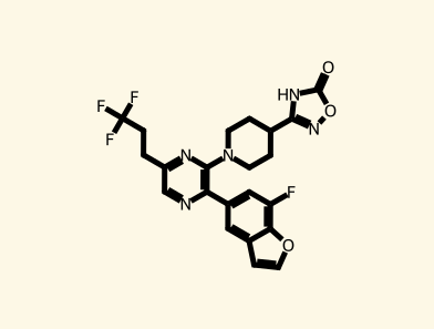 O=c1[nH]c(C2CCN(c3nc(CCC(F)(F)F)cnc3-c3cc(F)c4occc4c3)CC2)no1